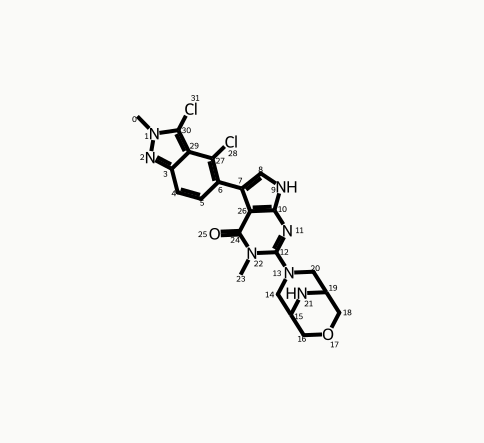 Cn1nc2ccc(-c3c[nH]c4nc(N5CC6COCC(C5)N6)n(C)c(=O)c34)c(Cl)c2c1Cl